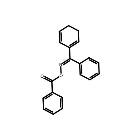 O=C(O/N=C(/C1=CCCC=C1)c1ccccc1)c1ccccc1